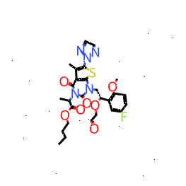 CCCCOC(=O)C(C)n1c(=O)c2c(C)c(-n3nccn3)sc2n(C[C@H](OCC=O)c2cc(F)ccc2OC)c1=O